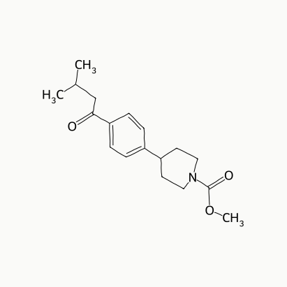 COC(=O)N1CCC(c2ccc(C(=O)CC(C)C)cc2)CC1